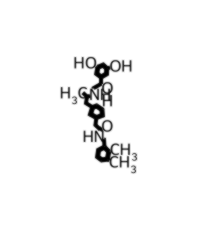 Cc1cccc(CNC(=O)Cc2cccc(CC(C)NCC(O)c3cc(O)cc(O)c3)c2)c1C